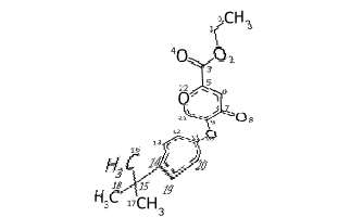 CCOC(=O)c1cc(=O)c(Oc2ccc(C(C)(C)C)cc2)co1